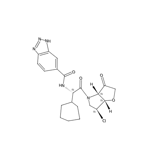 O=C(N[C@H](C(=O)N1C[C@H](Cl)[C@H]2OCC(=O)[C@H]21)C1CCCCC1)c1ccc2nn[nH]c2c1